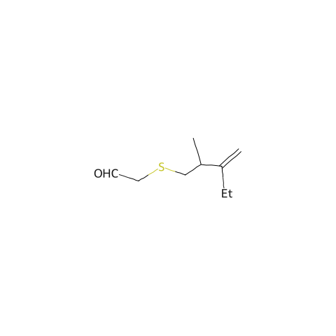 C=C(CC)C(C)CSCC=O